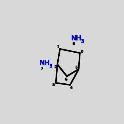 C1CC2CCC1C2.N.N